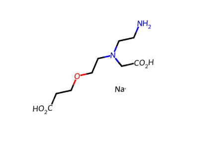 NCCN(CCOCCC(=O)O)CC(=O)O.[Na]